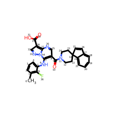 Cc1cccc(Nc2c(C(=O)N3CCC4(C=Cc5ccccc54)CC3)cnc3c(C(=O)O)cnn23)c1F